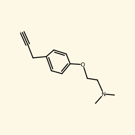 [C]#CCc1ccc(OCCN(C)C)cc1